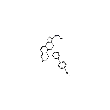 C[C@]12C[C@H](c3ccc(-c4ccc(C#N)cc4)cc3)[C@H]3[C@@H](C=CC4=CC(=O)CC[C@@H]43)[C@@H]1CC[C@@]2(O)/C=C\CO